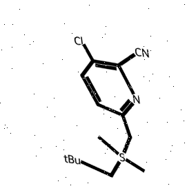 CC(C)(C)CS(C)(C)Cc1ccc(Cl)c(C#N)n1